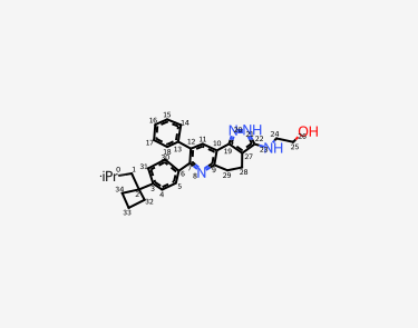 C[C](C)CC1(c2ccc(-c3nc4c(cc3-c3ccccc3)-c3n[nH]c(NCCO)c3CC4)cc2)CCC1